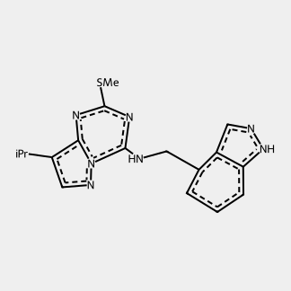 CSc1nc(NCc2cccc3[nH]ncc23)n2ncc(C(C)C)c2n1